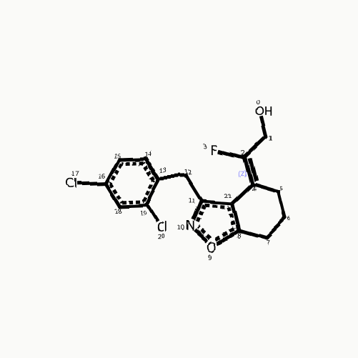 OC/C(F)=C1\CCCc2onc(Cc3ccc(Cl)cc3Cl)c21